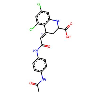 CC(=O)Nc1ccc(NC(=O)/C=C2\CC(C(=O)O)Nc3cc(Cl)cc(Cl)c32)cc1